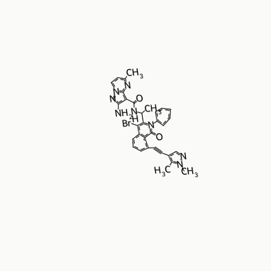 Cc1ccn2nc(N)c(C(=O)NC(C)c3c(Br)c4cccc(C#Cc5cnn(C)c5C)c4c(=O)n3-c3ccccc3)c2n1